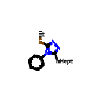 CCCCCCCc1nnc(SCC)n1-c1ccccc1